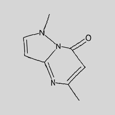 Cc1cc(=O)n2c(ccn2C)n1